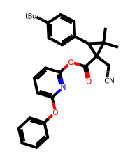 CC(C)(C)c1ccc(C2C(C)(C)C2(CC#N)C(=O)Oc2cccc(Oc3ccccc3)n2)cc1